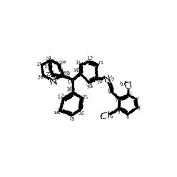 Clc1cccc(Cl)c1C=Nc1cccc(C(c2ccccc2)C2CC3CCN2CC3)c1